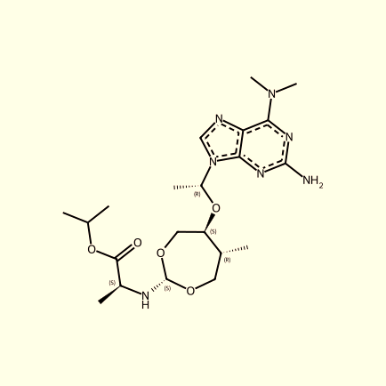 CC(C)OC(=O)[C@H](C)N[C@H]1OC[C@@H](C)[C@H](O[C@H](C)n2cnc3c(N(C)C)nc(N)nc32)CO1